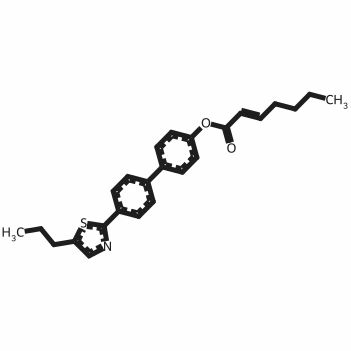 CCCCC=CC(=O)Oc1ccc(-c2ccc(-c3ncc(CCC)s3)cc2)cc1